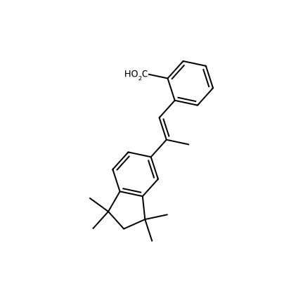 CC(=Cc1ccccc1C(=O)O)c1ccc2c(c1)C(C)(C)CC2(C)C